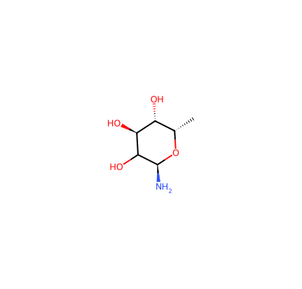 C[C@@H]1O[C@@H](N)C(O)[C@@H](O)[C@@H]1O